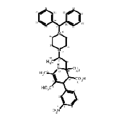 CC1=C(C(=O)O)C(c2cccc([N+](=O)[O-])c2)C(C(=O)O)C(C)(CC(C)N2CCN(C(c3ccccc3)c3ccccc3)CC2)N1